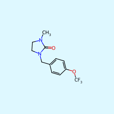 CN1CCN(Cc2ccc(OC(F)(F)F)cc2)C1=O